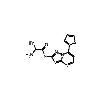 CC(C)C(N)C(=O)Nc1nc2nccc(-c3cccs3)n2n1